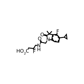 CC1(C)C(=O)N(CC(=O)NC[C@@H](F)CC(=O)O)c2ccc(C3CC3)c(F)c21